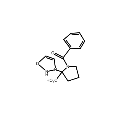 O=C(c1ccccc1)N1CCCC1(C(=O)O)N1C=CON1